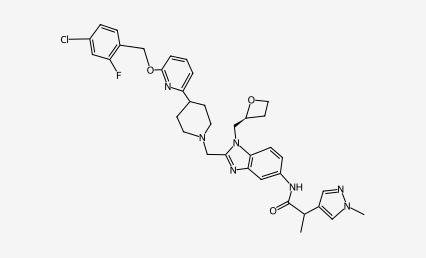 CC(C(=O)Nc1ccc2c(c1)nc(CN1CCC(c3cccc(OCc4ccc(Cl)cc4F)n3)CC1)n2C[C@@H]1CCO1)c1cnn(C)c1